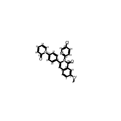 COc1ccc2cc(-c3ccc(-n4ccccc4=O)cc3)n(-c3ccc(Cl)cn3)c(=O)c2c1